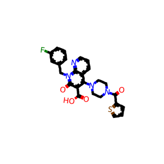 O=C(O)c1c(N2CCN(C(=O)c3cccs3)CC2)c2cccnc2n(Cc2cccc(F)c2)c1=O